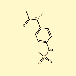 CC(=O)[C@H](C)c1ccc(NS(=O)(=O)I)cc1